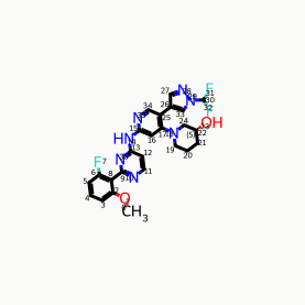 COc1cccc(F)c1-c1nccc(Nc2cc(N3CCC[C@H](O)C3)c(-c3cnn(C(F)F)c3)cn2)n1